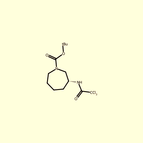 CC(C)(C)OC(=O)N1CCCC[C@@H](NC(=O)C(Cl)(Cl)Cl)C1